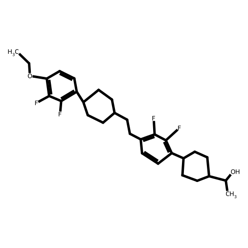 CCOc1ccc(C2CCC(CCc3ccc(C4CCC(C(C)O)CC4)c(F)c3F)CC2)c(F)c1F